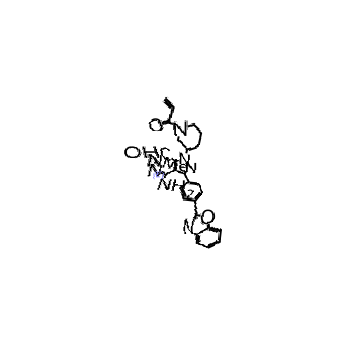 C=CC(=O)N1CCCC(n2nc(-c3ccc(-c4nc5ccccc5o4)cc3)c(/C(N)=N\NC)c2C=O)C1